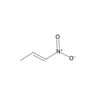 C/C=C/[N+](=O)[O-]